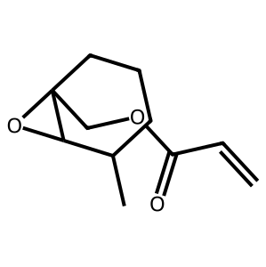 C=CC(=O)OCC12CCCC(C)C1O2